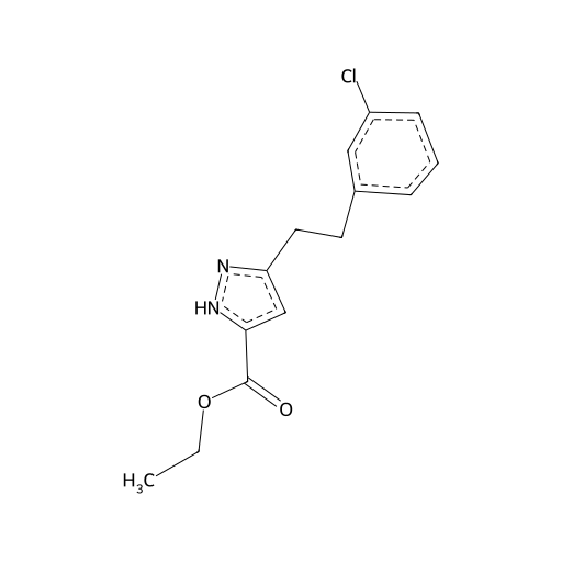 CCOC(=O)c1cc(CCc2cccc(Cl)c2)n[nH]1